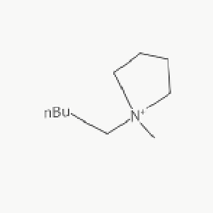 CCCCC[N+]1(C)CCCC1